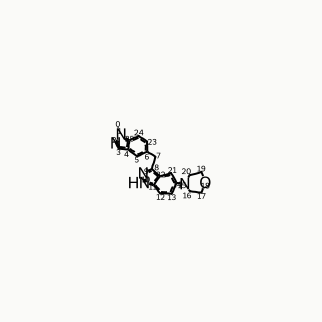 Cn1ncc2cc(Cc3n[nH]c4ccc(N5CCOCC5)cc34)ccc21